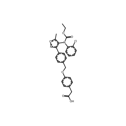 CCOC(=O)N(c1ccccc1Cl)c1c(-c2ccc(COc3ccc(CC(=O)O)cc3)cc2)noc1C